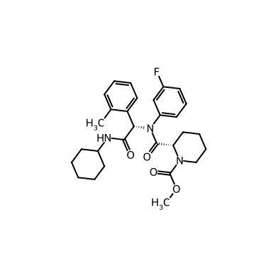 COC(=O)N1CCCC[C@H]1C(=O)N(c1cccc(F)c1)[C@H](C(=O)NC1CCCCC1)c1ccccc1C